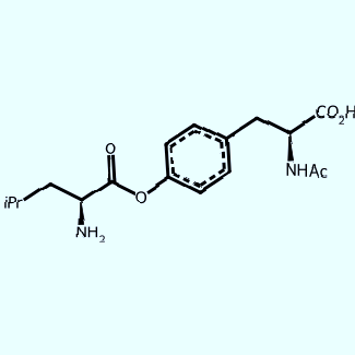 CC(=O)N[C@@H](Cc1ccc(OC(=O)[C@@H](N)CC(C)C)cc1)C(=O)O